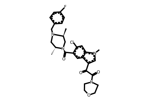 C[C@@H]1CN(Cc2ccc(F)cc2)[C@@H](C)CN1C(=O)c1cc2c(C(=O)C(=O)N3CCOCC3)cn(C)c2cc1Cl